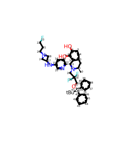 C[C@@H]1Cc2ccc(O)c(O)c2[C@@H](c2ccc(NC3CN(CCCF)C3)cn2)N1CC(F)(F)CO[Si](c1ccccc1)(c1ccccc1)C(C)(C)C